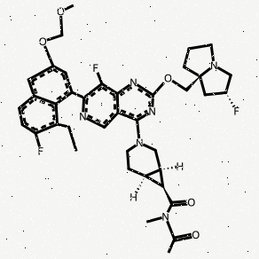 CCc1c(F)ccc2cc(OCOC)cc(-c3ncc4c(N5CC[C@H]6[C@@H](C5)[C@H]6C(=O)N(C)C(C)=O)nc(OC[C@@]56CCCN5C[C@H](F)C6)nc4c3F)c12